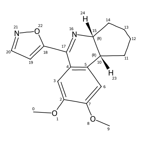 COc1cc2c(cc1OC)[C@H]1CCCC[C@H]1N=C2c1ccno1